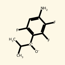 CC(C)[S+]([O-])c1c(F)cc(N)c(F)c1F